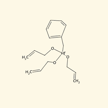 C=CC[O][Hf]([CH2]c1ccccc1)([O]CC=C)[O]CC=C